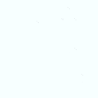 CC(C)(C)OC(=O)Nc1cccc(C(=O)NC2CCC(Nc3ncc(Cl)c(-c4cn(S(=O)(=O)c5ccccc5)c5ccccc45)n3)CC2)c1